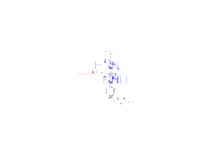 COc1ccc(CNc2ccnc(NC3CCCCC3)c2C(=N)CCCO)cc1